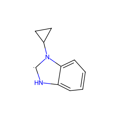 [CH]1Nc2ccccc2N1C1CC1